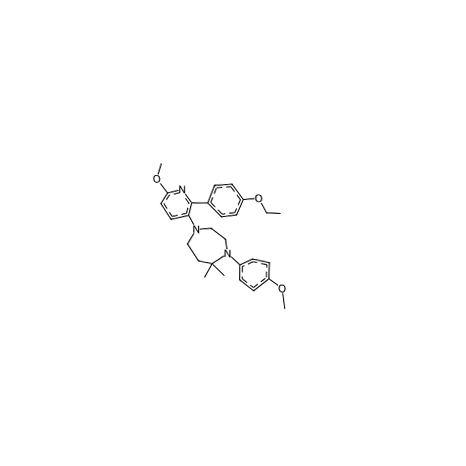 CCOc1ccc(-c2nc(OC)ccc2N2CCN(c3ccc(OC)cc3)C(C)(C)CC2)cc1